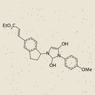 CCOC(=O)/C=C/c1ccc2c(c1)CCC2N1C=C(O)N(c2ccc(OC)cc2)C1O